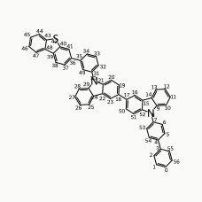 c1ccc(-c2ccc(-n3c4ccccc4c4cc(-c5ccc6c(c5)c5ccccc5n6-c5cccc(-c6ccc7c(c6)sc6ccccc67)c5)ccc43)cc2)cc1